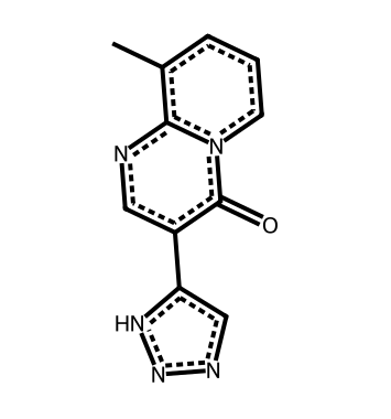 Cc1cccn2c(=O)c(-c3cnn[nH]3)cnc12